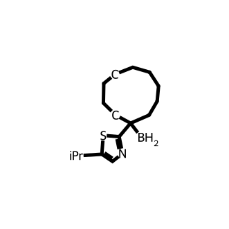 BC1(c2ncc(C(C)C)s2)CCCCCCCCC1